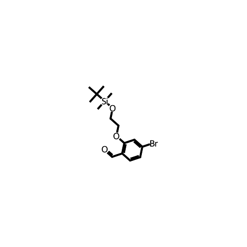 CC(C)(C)[Si](C)(C)OCCOc1cc(Br)ccc1C=O